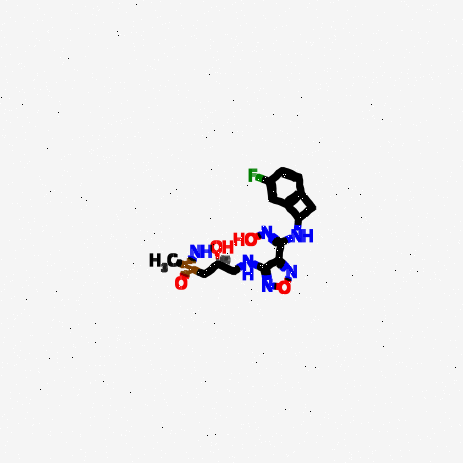 CS(=N)(=O)C[C@H](O)CNc1nonc1C(=NO)NC1Cc2ccc(F)cc21